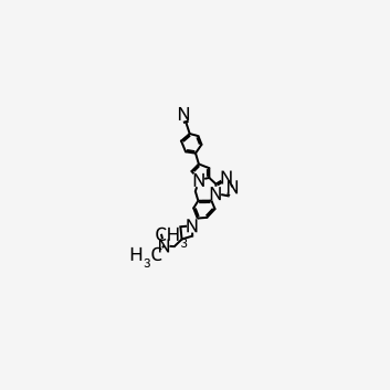 CN(C)CC1CN(c2ccc3c(c2)Cn2cc(-c4ccc(C#N)cc4)cc2-c2nncn2-3)C1